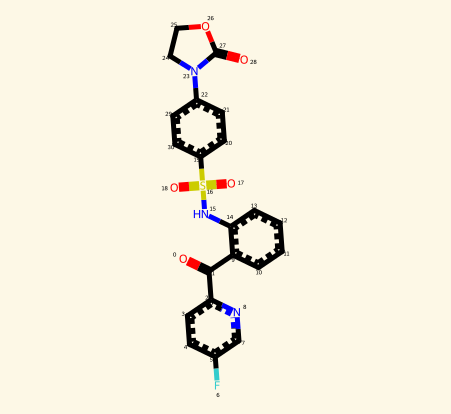 O=C(c1ccc(F)cn1)c1ccccc1NS(=O)(=O)c1ccc(N2CCOC2=O)cc1